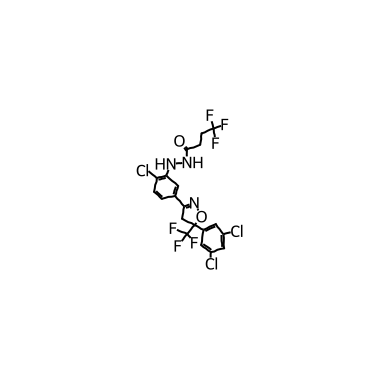 O=C(CCC(F)(F)F)NNc1cc(C2=NOC(c3cc(Cl)cc(Cl)c3)(C(F)(F)F)C2)ccc1Cl